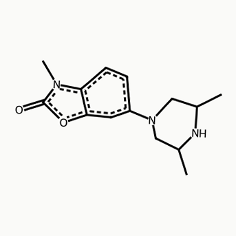 CC1CN(c2ccc3c(c2)oc(=O)n3C)CC(C)N1